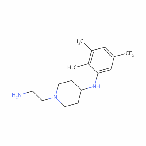 Cc1cc(C(F)(F)F)cc(NC2CCN(CCN)CC2)c1C